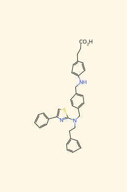 O=C(O)CCc1ccc(NCc2ccc(CN(CCc3ccccc3)c3nc(-c4ccccc4)cs3)cc2)cc1